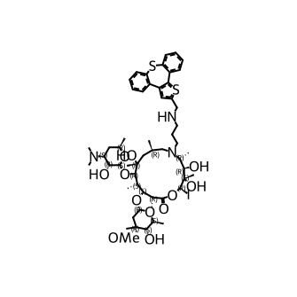 CO[C@]1(C)C[C@H](O[C@H]2[C@H](C)[C@@H](O[C@@H]3O[C@H](C)C[C@H](N(C)C)[C@H]3O)[C@](C)(O)C[C@@H](C)CN(CCCNCc3cc4c(s3)-c3ccccc3Sc3ccccc3-4)[C@H](C)[C@@H](O)[C@](C)(O)[C@@H](I)OC(=O)[C@@H]2C)O[C@@H](C)[C@@H]1O